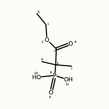 CCOC(=O)C(C)(C)P(=O)(O)O